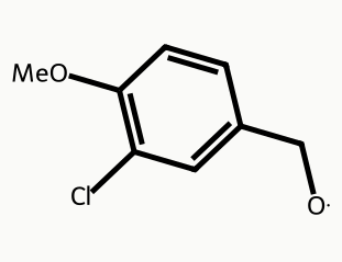 COc1ccc(C[O])cc1Cl